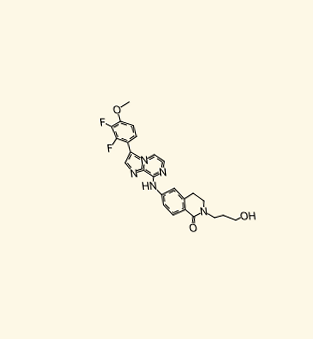 COc1ccc(-c2cnc3c(Nc4ccc5c(c4)CCN(CCCO)C5=O)nccn23)c(F)c1F